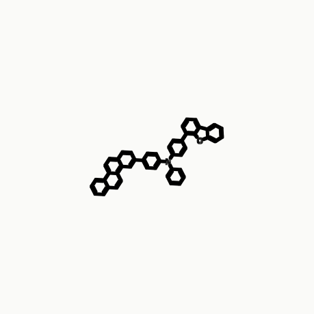 c1ccc(N(c2ccc(-c3ccc4ccc5c6ccccc6ccc5c4c3)cc2)c2ccc(-c3cccc4c3oc3ccccc34)cc2)cc1